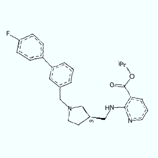 CC(C)OC(=O)c1cccnc1NC[C@H]1CCN(Cc2cccc(-c3ccc(F)cc3)c2)C1